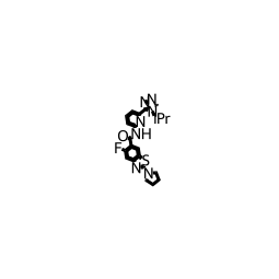 CC(C)n1cnnc1-c1cccc(NC(=O)c2cc3sc(N4CCCC4)nc3cc2F)n1